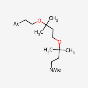 CNCCC(C)(C)OCCC(C)(C)OCCC(C)=O